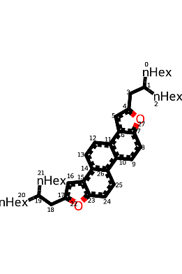 CCCCCCC(CCCCCC)Cc1cc2c(ccc3c2ccc2c4cc(CC(CCCCCC)CCCCCC)oc4ccc23)o1